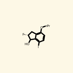 CCCOc1ccc(I)c2c1C[C@@H](F)C2O